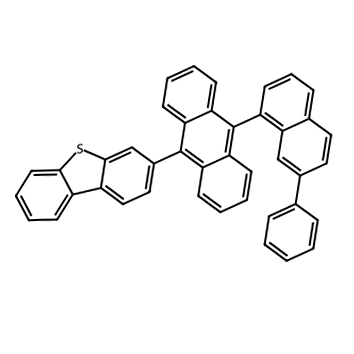 c1ccc(-c2ccc3cccc(-c4c5ccccc5c(-c5ccc6c(c5)sc5ccccc56)c5ccccc45)c3c2)cc1